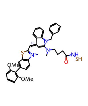 COc1cccc(OC)c1-c1ccc2c(c1)sc(/C=C1\C=C(N(C)CCCC(=O)NS)N(Cc3ccccc3)c3ccccc31)[n+]2C